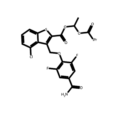 CC(OC(=O)c1sc2cccc(Cl)c2c1COc1c(F)cc(C(N)=O)cc1F)OC(=O)C(C)C